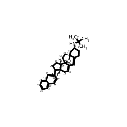 CC(C)(C)N[C@H]1CCC2=CC3=CC[C@]4(C)C(c5ccc6ccccc6c5)CC[C@H]4C34CC[C@]2(C1)O4